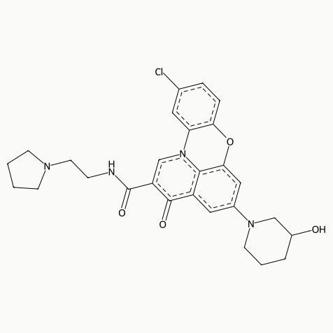 O=C(NCCN1CCCC1)c1cn2c3c(cc(N4CCCC(O)C4)cc3c1=O)Oc1ccc(Cl)cc1-2